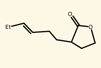 CCC=CCCC1CCOC1=O